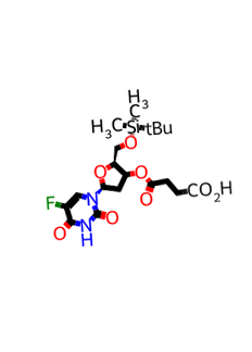 CC(C)(C)[Si](C)(C)OC[C@@H]1O[C@H](n2cc(F)c(=O)[nH]c2=O)CC1OC(=O)CCC(=O)O